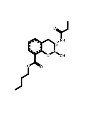 CCCCOC(=O)c1cccc2c1OB(O)[C@@H](NC(=O)CC)C2